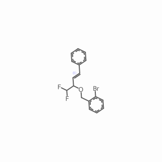 FC(F)C(/C=C/c1ccccc1)OCc1ccccc1Br